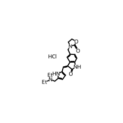 CCN(CC)Cc1ccc(C=C2C(=O)Nc3ccc(CN4CCOC4=O)cc32)[nH]1.Cl